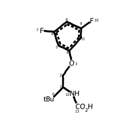 CC(C)(C)C(COc1cc(F)cc(F)c1)NC(=O)O